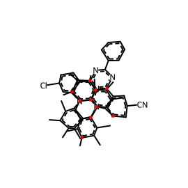 Cc1c(C)c(C)c2c(c1C)Cc1c(C)c(C)c(C)c(C)c1N2c1ccc(C#N)cc1-c1nc(-c2ccccc2)nc(-c2ccc(Cl)cc2N2c3c(C)c(C)c(C)c(C)c3Cc3c(C)c(C)c(C)c(C)c32)n1